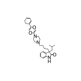 CC(C)CC1(CCCCN2CCN(C3=COC(C4=CC=CCC4)=CO3)CC2)C(=O)Nc2ccccc21